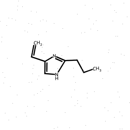 C=Cc1c[nH]c(CCC)n1